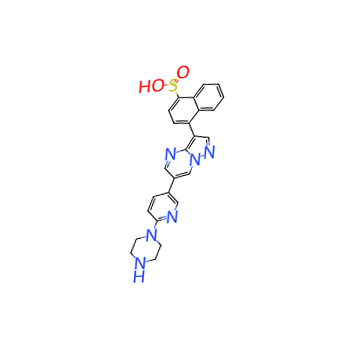 O=S(O)c1ccc(-c2cnn3cc(-c4ccc(N5CCNCC5)nc4)cnc23)c2ccccc12